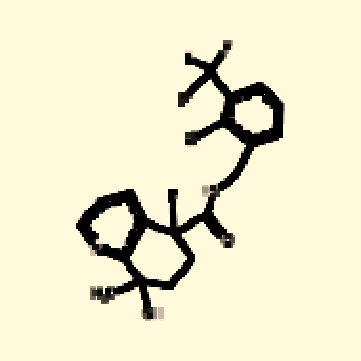 CC1(O)CCC(F)(C(=O)NCc2cccc(C(F)(F)F)c2Cl)c2cccnc21